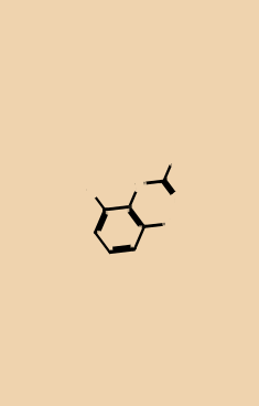 CCC(=O)Oc1c(C(F)(F)F)cccc1C(F)(F)F